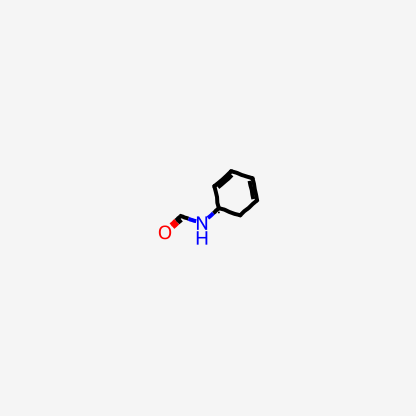 O=CN[C]1C=CC=CC1